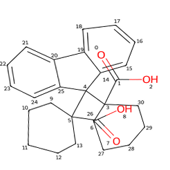 O=C(O)C1(C2(C3(C(=O)O)CCCCC3)c3ccccc3-c3ccccc32)CCCCC1